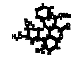 COC(=O)c1c(Cc2ccccc2)c2c(-c3nc(C)c(C)s3)c(Br)ccc2oc1=O